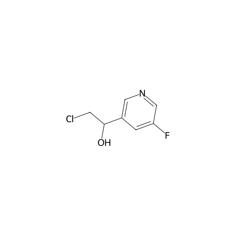 OC(CCl)c1cncc(F)c1